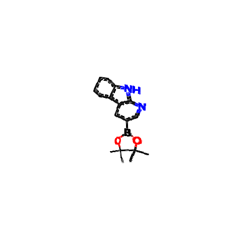 CC1(C)OB(c2cnc3[nH]c4ccccc4c3c2)OC1(C)C